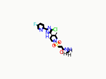 [2H]C([2H])([2H])NC(=O)C=CS(=O)(=O)N1CC[C@@H](c2[nH]c(-c3ccc(F)cn3)nc2Cl)[C@@H](C)C1